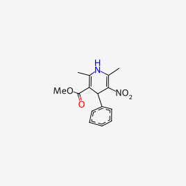 COC(=O)C1=C(C)NC(C)=C([N+](=O)[O-])C1c1ccccc1